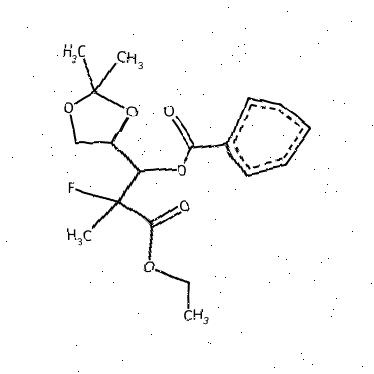 CCOC(=O)C(C)(F)C(OC(=O)c1ccccc1)C1COC(C)(C)O1